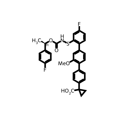 COc1cc(-c2ccc(F)cc2SNC(=O)O[C@H](C)c2ccc(F)cc2)ccc1-c1ccc(C2(C(=O)O)CC2)cc1